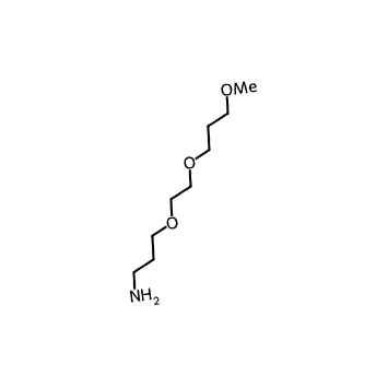 COCCCOCCOCCCN